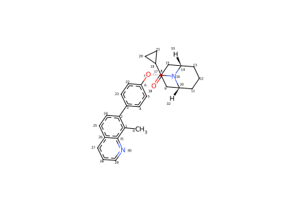 Cc1c(-c2ccc(O[C@H]3C[C@H]4CCC[C@@H](C3)N4C(=O)C3CC3)cc2)ccc2cccnc12